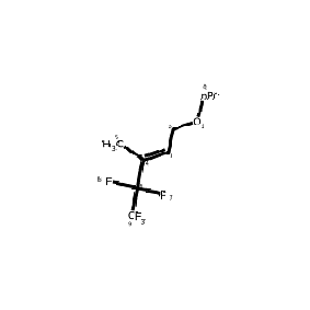 CC[CH]OC/C=C(\C)C(F)(F)C(F)(F)F